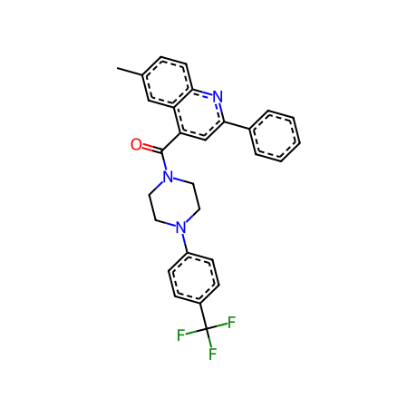 Cc1ccc2nc(-c3ccccc3)cc(C(=O)N3CCN(c4ccc(C(F)(F)F)cc4)CC3)c2c1